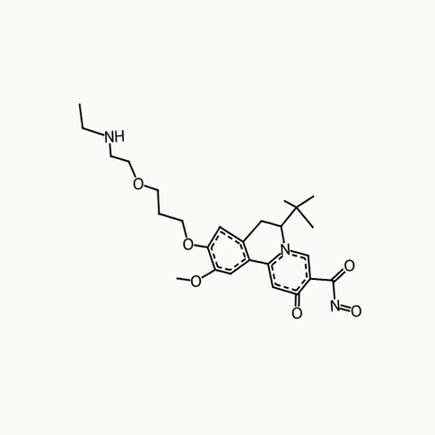 CCNCCOCCCOc1cc2c(cc1OC)-c1cc(=O)c(C(=O)N=O)cn1C(C(C)(C)C)C2